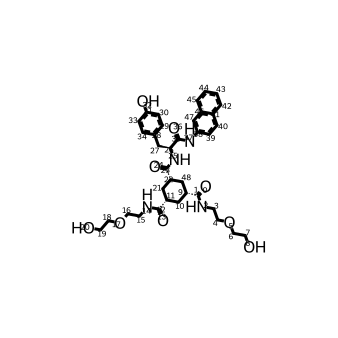 O=C(NCCOCCO)[C@@H]1C[C@H](C(=O)NCCOCCO)C[C@H](C(=O)N[C@@H](Cc2ccc(O)cc2)C(=O)Nc2ccc3ccccc3c2)C1